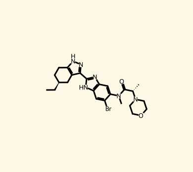 CC[C@H]1CCc2[nH]nc(-c3nc4cc(N(C)C(=O)[C@H](C)N5CCOCC5)c(Br)cc4[nH]3)c2C1